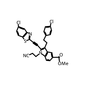 COC(=O)c1ccc2c(c1)c(CCc1ccc(Cl)cc1)c(C#Cc1nc3cc(Cl)ccc3s1)n2CCC#N